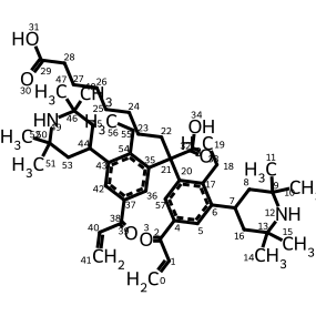 C=CC(=O)c1cc(C2CC(C)(C)NC(C)(C)C2)c(CC)c(C(CCCCCCCC(=O)O)(C(=O)O)c2cc(C(=O)C=C)cc(C3CC(C)(C)NC(C)(C)C3)c2CC)c1